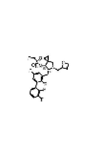 O=S(=O)(CF)N[C@@H]1[C@H](Cc2cc(F)cc(-c3cccc(F)c3F)c2F)N(CC2CCO2)CC12CC2